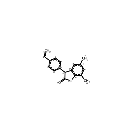 C=Cc1ccc(C2C(=O)Oc3c(C)cc(C)cc32)cc1